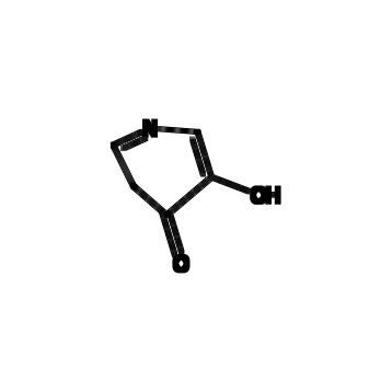 O=C1CC=NC=C1O